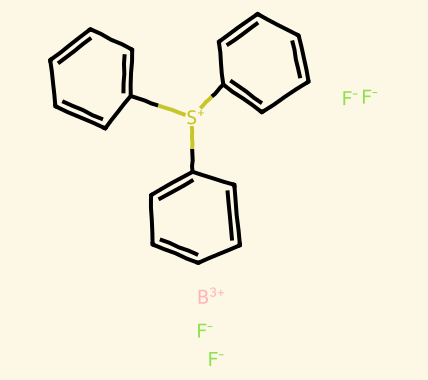 [B+3].[F-].[F-].[F-].[F-].c1ccc([S+](c2ccccc2)c2ccccc2)cc1